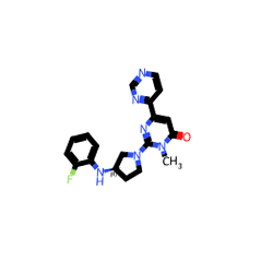 Cn1c(N2CC[C@@H](Nc3ccccc3F)C2)nc(-c2ccncn2)cc1=O